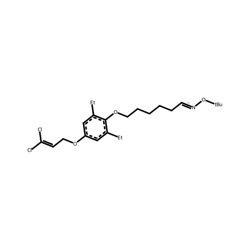 CCc1cc(OCC=C(Cl)Cl)cc(CC)c1OCCCCC/C=N/OC(C)(C)C